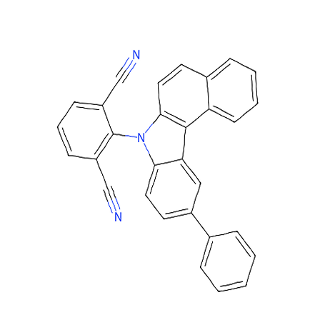 N#Cc1cccc(C#N)c1-n1c2ccc(-c3ccccc3)cc2c2c3ccccc3ccc21